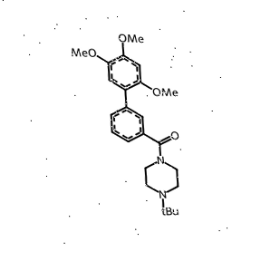 COc1cc(OC)c(-c2cccc(C(=O)N3CCN(C(C)(C)C)CC3)c2)cc1OC